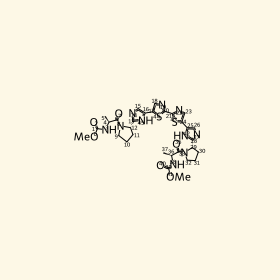 COC(=O)N[C@@H](C)C(=O)N1CCC[C@H]1c1ncc(-c2cnc(-c3ncc(-c4cnc([C@@H]5CCCN5C(=O)[C@H](C)NC(=O)OC)[nH]4)s3)s2)[nH]1